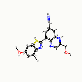 COCc1cnc2c(-c3nc4c(C)cc(OC)cc4s3)cc(C#N)cc2n1